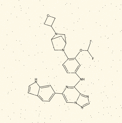 FC(F)Oc1cc(Nc2nc(-c3ccc4cc[nH]c4c3)cn3ncnc23)ccc1N1CC2CC1CN2C1COC1